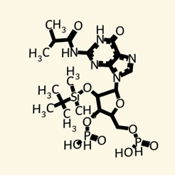 CC(C)C(=O)Nc1nc2c(ncn2C2OC(CO[PH](=O)O)C(O[PH](=O)O)C2O[Si](C)(C)C(C)(C)C)c(=O)[nH]1